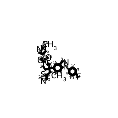 Cc1cc2c(cnn2-c2ccc(F)cc2)cc1C1(Cc2cncs2)CCN(S(=O)(=O)c2cnn(C)c2)C1